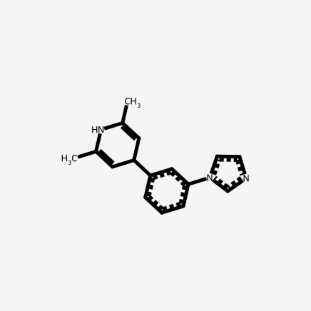 CC1=CC(c2cccc(-n3ccnc3)c2)C=C(C)N1